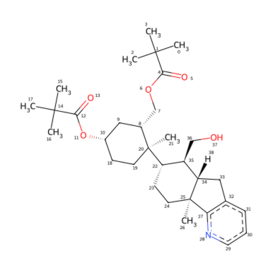 CC(C)(C)C(=O)OC[C@H]1C[C@@H](OC(=O)C(C)(C)C)CC[C@]1(C)[C@H]1CC[C@]2(C)c3ncccc3C[C@H]2[C@@H]1CO